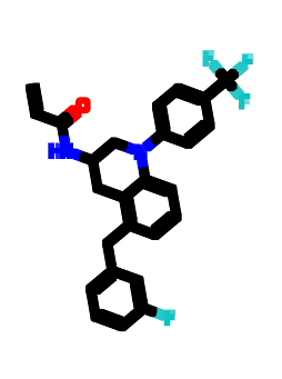 C=CC(=O)NC1Cc2c(Cc3cccc(F)c3)cccc2N(c2ccc(C(F)(F)F)cc2)C1